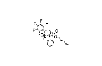 C=CCCCOC(=O)[C@H](C)N[P@](=O)(Oc1ccccc1)Oc1c(F)c(F)c(F)c(F)c1F